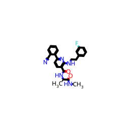 CNC(=O)[C@@H](C)NC(=O)c1ccc(-c2ccccc2C#N)nc1NCCc1cccc(F)c1